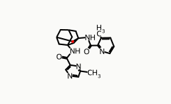 Cc1cncc(C(=O)NC23CC4CC(C2)CC(NC(=O)c2ncccc2C)(C4)C3)n1